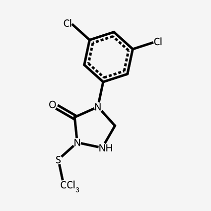 O=C1N(SC(Cl)(Cl)Cl)NCN1c1cc(Cl)cc(Cl)c1